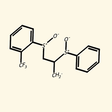 [CH2]C(C[S+]([O-])c1ccccc1C(F)(F)F)[S+]([O-])c1ccccc1